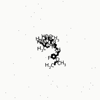 C=CCCC1(C)CCN(c2c(C(OC(C)(C)C)C(=O)O)c(C)nc3cc(-c4ncc(Cc5ccc(F)cc5OC(C)CC=C)s4)nn23)CC1